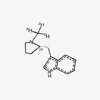 [2H]C([2H])([2H])N1CCC[C@H]1Cc1c[nH]c2ccccc12